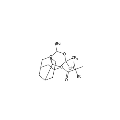 CCC(C)(C)C(=O)OC12CC3CC(C1)C1(CC(O)(C(F)(F)F)OC(C(C)(C)C)O1)C(C3)C2